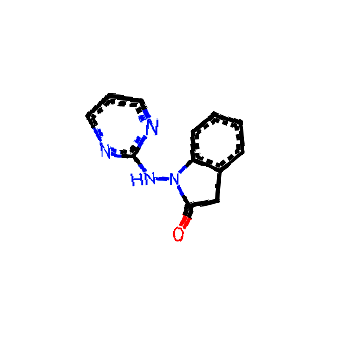 O=C1Cc2ccccc2N1Nc1ncccn1